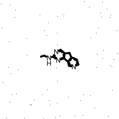 CCNc1ncc2c(n1)-c1cnccc1C2